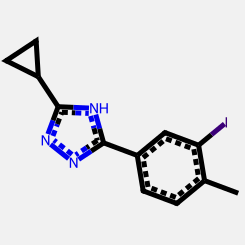 Cc1ccc(-c2nnc(C3CC3)[nH]2)cc1I